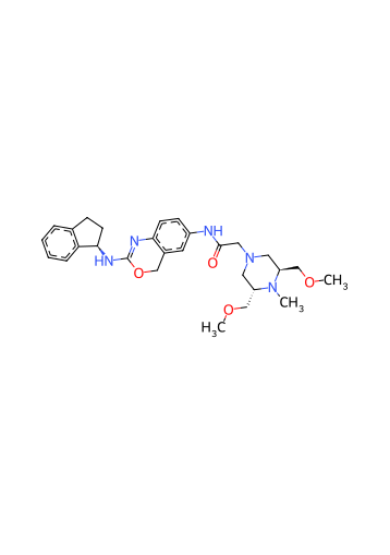 COC[C@@H]1CN(CC(=O)Nc2ccc3c(c2)COC(N[C@@H]2CCc4ccccc42)=N3)C[C@@H](COC)N1C